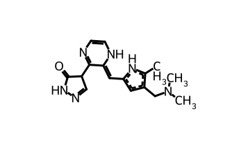 Cc1[nH]c(C=C2NC=CN=C2C2C=NNC2=O)cc1CN(C)C